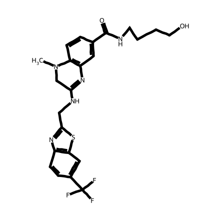 CN1CC(NCc2nc3ccc(C(F)(F)F)cc3s2)=Nc2cc(C(=O)NCCCCO)ccc21